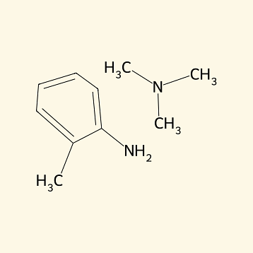 CN(C)C.Cc1ccccc1N